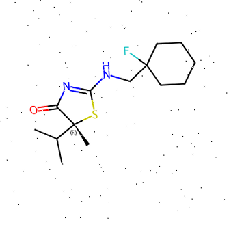 CC(C)[C@@]1(C)SC(NCC2(F)CCCCC2)=NC1=O